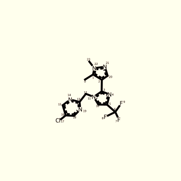 Cc1c(-c2nc(C(F)(F)F)cn2Cc2ncc(Cl)cn2)cnn1C